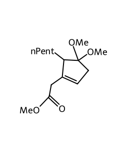 CCCCCC1C(CC(=O)OC)=CCC1(OC)OC